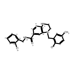 Cc1ccc(Cl)c(CN2CCNc3ncc(C(=O)NCc4ccccc4Cl)cc32)c1